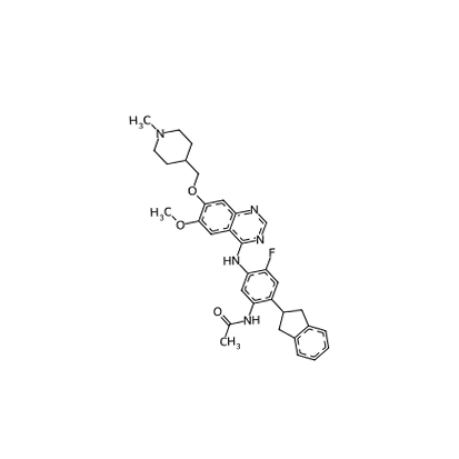 COc1cc2c(Nc3cc(NC(C)=O)c(C4Cc5ccccc5C4)cc3F)ncnc2cc1OCC1CCN(C)CC1